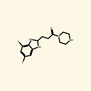 O=C(CCC1Nc2cc(F)cc(F)c2N1)N1CCNCC1